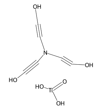 OC#CN(C#CO)C#CO.[O]=[Ti]([OH])[OH]